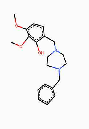 COc1ccc(CN2CCN(Cc3ccccc3)CC2)c(O)c1OC